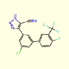 N#Cc1[nH]nnc1-c1cc(Cl)cc(-c2ccc(F)c(C(F)(F)F)c2)c1